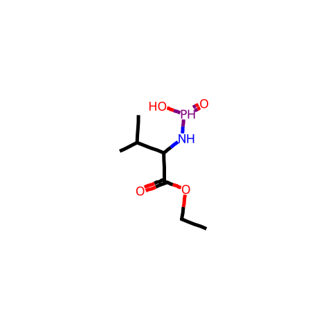 CCOC(=O)C(N[PH](=O)O)C(C)C